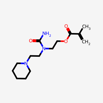 C=C(C)C(=O)OCCN(CCN1CCCCC1)C(N)=O